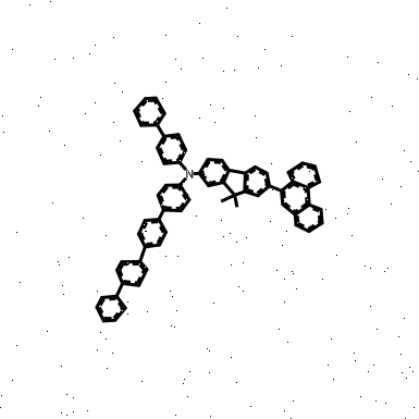 CC1(C)c2cc(-c3cc4ccccc4c4ccccc34)ccc2-c2ccc(N(c3ccc(-c4ccccc4)cc3)c3ccc(-c4ccc(-c5ccc(-c6ccccc6)cc5)cc4)cc3)cc21